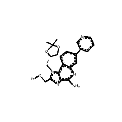 CCOCc1nc2c(N)nc3cc(-c4cccnc4)ccc3c2n1C[C@H]1COC(C)(C)O1